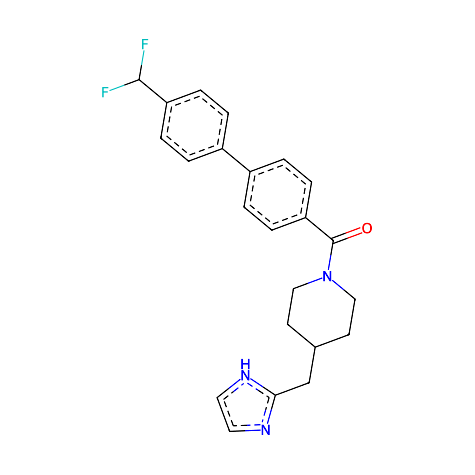 O=C(c1ccc(-c2ccc(C(F)F)cc2)cc1)N1CCC(Cc2ncc[nH]2)CC1